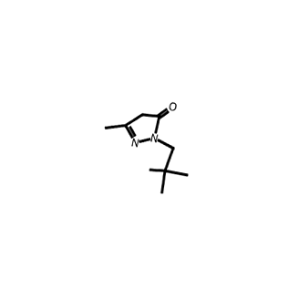 CC1=NN(CC(C)(C)C)C(=O)C1